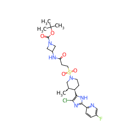 C[C@H]1CN(S(=O)(=O)CCC(=O)NC2CN(C(=O)OC(C)(C)C)C2)CC[C@H]1c1[nH]c(-c2ccc(F)cn2)nc1Cl